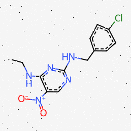 [CH2]CNc1nc(NCc2ccc(Cl)cc2)ncc1[N+](=O)[O-]